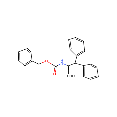 O=C[C@@H](NC(=O)OCc1ccccc1)C(c1ccccc1)c1ccccc1